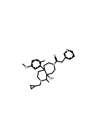 COc1ccc(C)c(C23CCN(C(=O)Cc4cccnc4)CCC2(O)C(C)N(CC2CC2)CC3)c1